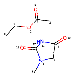 CCOC(C)=O.CN1CC(=O)NC1=O